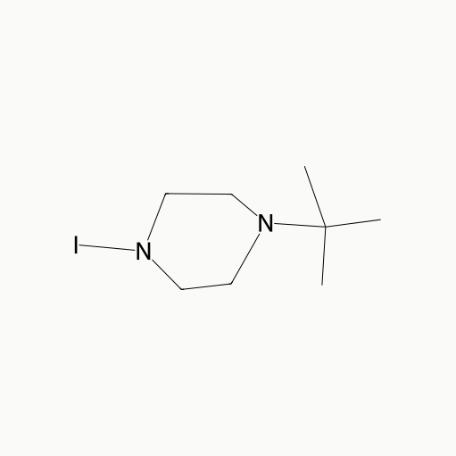 CC(C)(C)N1CCN(I)CC1